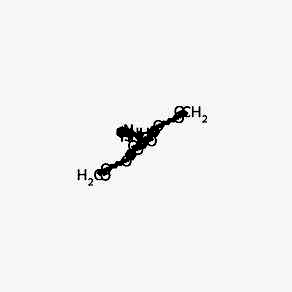 C=CC(=O)OCCCCCCOc1ccc(C(=O)Oc2ccc(OC(=O)c3ccc(OCCCCCCOC(=O)C=C)cc3)c(CNNc3nc4ccccc4s3)c2)cc1